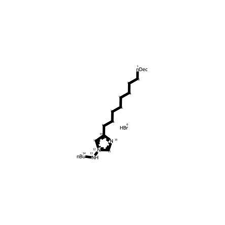 Br.CCCCCCCCCCCCCCCCCCc1cn(NCCCC)cn1